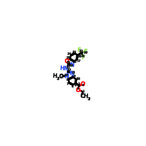 CCOC(=O)c1ccc2c(c1)nc(Nc1nc3cc(C(F)(F)F)ccc3o1)n2C